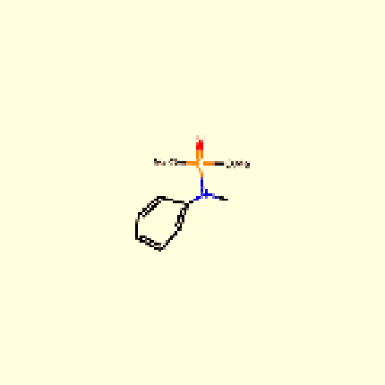 COP(=O)(OC)N(C)c1ccccc1